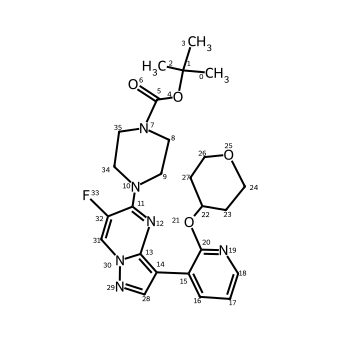 CC(C)(C)OC(=O)N1CCN(c2nc3c(-c4cccnc4OC4CCOCC4)cnn3cc2F)CC1